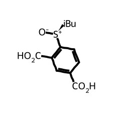 CCC(C)[S@+]([O-])c1ccc(C(=O)O)cc1C(=O)O